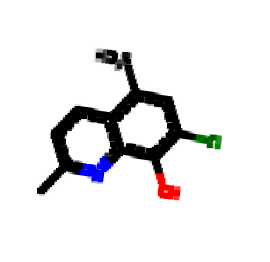 Cc1ccc2c(S(=O)(=O)O)cc(Cl)c(O)c2n1